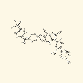 Cc1cc(-n2c(Cl)cc3c(=O)n(CC4(O)CCN(C(=O)c5ccc(C(F)(F)F)cc5)CC4)cnc32)ccc1C1CO[C@H](C)CN1